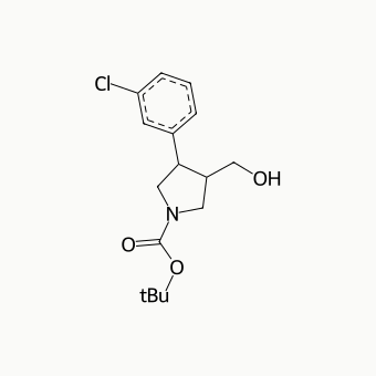 CC(C)(C)OC(=O)N1CC(CO)C(c2cccc(Cl)c2)C1